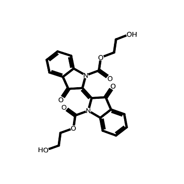 O=C1/C(=C2/C(=O)c3ccccc3N2C(=O)OCCO)N(C(=O)OCCO)c2ccccc21